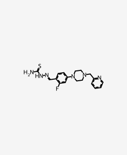 NC(=S)NN=Cc1ccc(N2CCN(Cc3ccccn3)CC2)cc1F